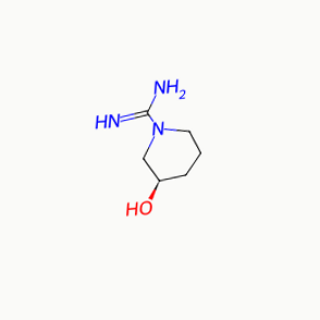 N=C(N)N1CCC[C@@H](O)C1